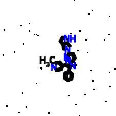 Cc1cc(-c2c(-c3ccccc3)nc3ccc(N4CC5CCNC5C4)nn23)ccn1